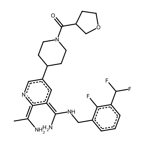 C/C(N)=c1\ncc(C2CCN(C(=O)C3CCOC3)CC2)c\c1=C(\N)NCc1cccc(C(F)F)c1F